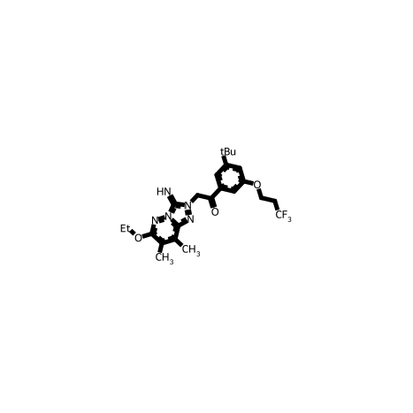 CCOc1nn2c(=N)n(CC(=O)c3cc(OCCC(F)(F)F)cc(C(C)(C)C)c3)nc2c(C)c1C